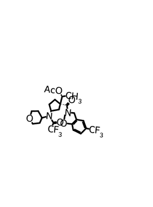 CC(=O)O[C@@H](C)[C@]1(C(=O)N2COc3ccc(C(F)(F)F)cc3C2)CC[C@@H](N(C(=O)C(F)(F)F)C2CCOCC2)C1